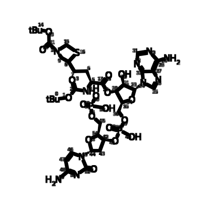 CC(C)(C)OC(=O)N[C@@H](CCC1CN(C(=O)OC(C)(C)C)CS1)C(=O)O[C@H]1[C@@H](O)[C@H](n2cnc3c(N)ncnc32)O[C@H]1COP(=O)(O)O[C@H]1C[C@H](n2ccc(N)nc2=O)O[C@H]1COP(=O)(O)O